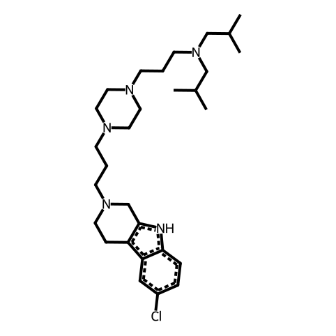 CC(C)CN(CCCN1CCN(CCCN2CCc3c([nH]c4ccc(Cl)cc34)C2)CC1)CC(C)C